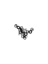 COc1ccc(S(=O)(=O)NC(=O)c2cc3c(Oc4cccc(OC)c4)ccc([N+](=O)[O-])c3[nH]2)cc1